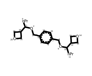 CCCC(OCc1ccc(COC(CCC)C2COC2)cc1)C1COC1